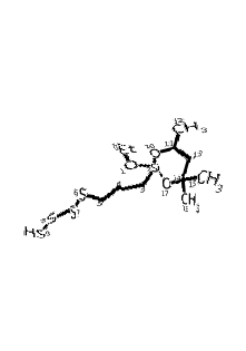 CCO[Si]1(CCCSSSS)OC(C)CC(C)(C)O1